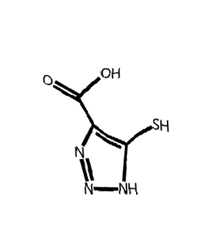 O=C(O)c1nn[nH]c1S